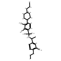 CCCc1ccc(C(C)OC(F)(F)c2ccc(C3CCC(CCC)CC3)c(F)c2F)cc1F